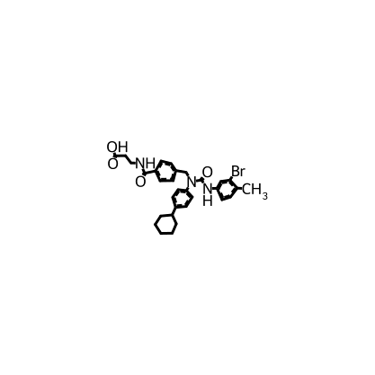 Cc1ccc(NC(=O)N(Cc2ccc(C(=O)NCCC(=O)O)cc2)c2ccc(C3CCCCC3)cc2)cc1Br